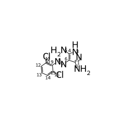 Nc1n[nH]c(N)c1N=Nc1c(Cl)cccc1Cl